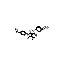 CCOc1ccc(-n2c(C)c3c(C)nnc(Nc4ccc(SC)cc4)c3c2C)cc1